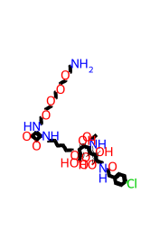 CC(=O)N[C@H]1[C@H]([C@H](O)[C@H](O)CNC(=O)Cc2ccc(Cl)cc2)O[C@@](OCCCCCCNc2c(NCCOCCOCCOCCOCCN)c(=O)c2=O)(C(=O)O)C[C@@H]1O